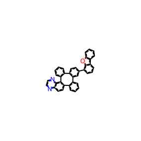 c1ccc2c(c1)-c1cc(-c3cccc4c3oc3ccccc34)ccc1-c1ccccc1-c1c-2ccc2nccnc12